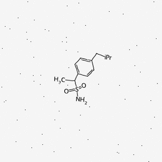 CC(C)Cc1ccc(C(C)S(N)(=O)=O)cc1